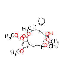 COCOc1cc(OC)cc2c1C(=O)O[C@@H](C)[C@H](Cc1ccccc1)/C=C\C(O)[C@H]1OC(C)(C)O[C@H]1C/C=C/2